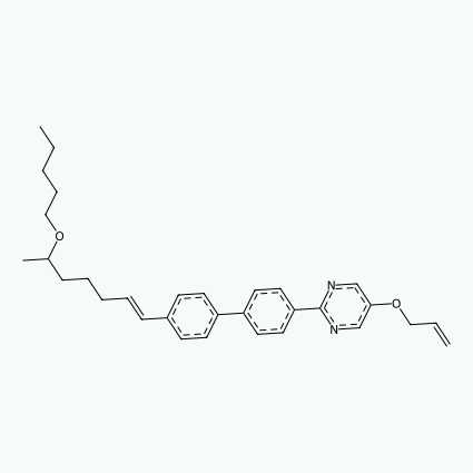 C=CCOc1cnc(-c2ccc(-c3ccc(/C=C/CCCC(C)OCCCCC)cc3)cc2)nc1